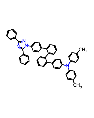 Cc1ccc(N(c2ccc(C)cc2)c2ccc(-c3ccccc3-c3ccccc3-c3ccc(-n4nc(-c5ccccc5)nc4-c4ccccc4)cc3)cc2)cc1